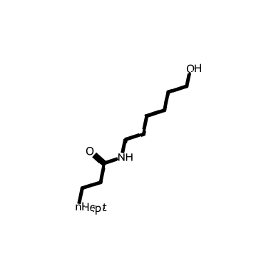 CCCCCCCCCC(=O)NCCCCCCO